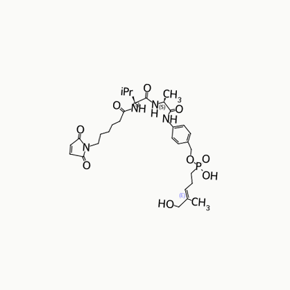 C/C(=C\CCP(=O)(O)OCc1ccc(NC(=O)[C@H](C)NC(=O)[C@@H](NC(=O)CCCCCN2C(=O)C=CC2=O)C(C)C)cc1)CO